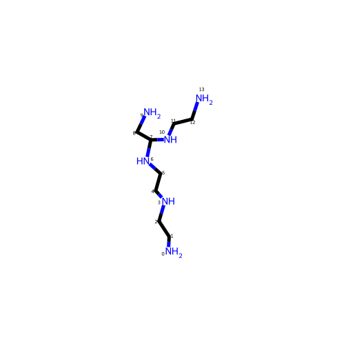 NCCNCCNC(CN)NCCN